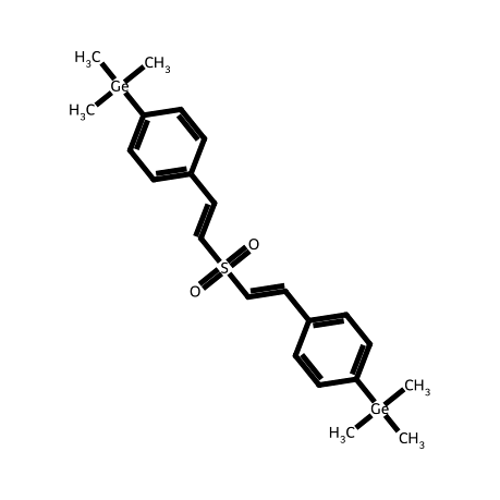 [CH3][Ge]([CH3])([CH3])[c]1ccc(C=CS(=O)(=O)C=Cc2cc[c]([Ge]([CH3])([CH3])[CH3])cc2)cc1